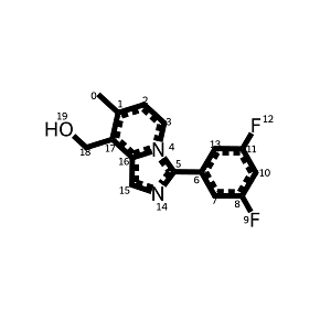 Cc1ccn2c(-c3cc(F)cc(F)c3)ncc2c1CO